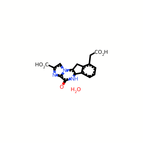 O.O=C(O)Cc1cccc2c1Cc1c-2[nH]c(=O)c2nc(C(=O)O)cn12